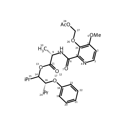 COc1ccnc(C(=O)N[C@@H](C)C(=O)OC(C(C)C)[C@H](Oc2ccccc2)C(C)C)c1OCOC(C)=O